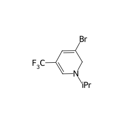 CC(C)N1C=C(C(F)(F)F)C=C(Br)C1